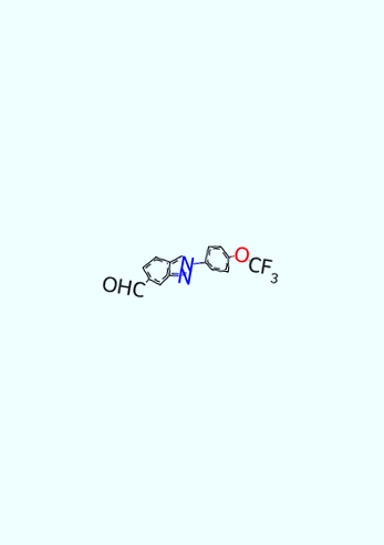 O=Cc1ccc2cn(-c3ccc(OC(F)(F)F)cc3)nc2c1